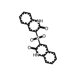 O=c1[nH]c2ccccc2cc1S(=O)(=O)c1cc2ccccc2[nH]c1=O